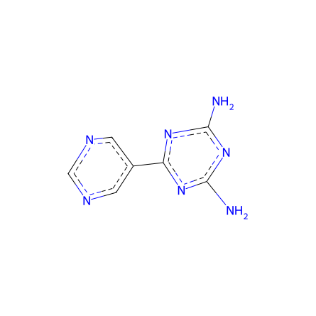 Nc1nc(N)nc(-c2cncnc2)n1